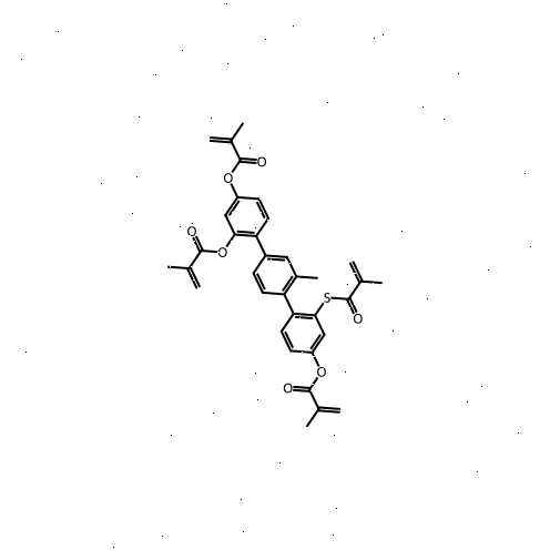 C=C(C)C(=O)Oc1ccc(-c2ccc(-c3ccc(OC(=O)C(=C)C)cc3SC(=O)C(=C)C)c(C)c2)c(OC(=O)C(=C)C)c1